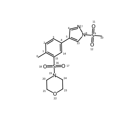 Cc1ccc(-c2cnn(S(C)(=O)=O)c2)cc1S(=O)(=O)N1CCOCC1